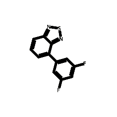 Fc1[c]c(F)cc(-c2cccc3nsnc23)c1